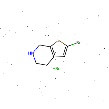 Br.Brc1cc2c(s1)CNCC2